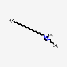 CCCCCCCCCCCCCCCCC[n+]1ccn(CCCC)c1C